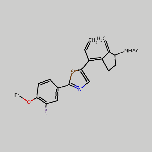 C=C/C(=C1/CCC(NC(C)=O)C1=C)c1cnc(-c2ccc(OC(C)C)c(I)c2)s1